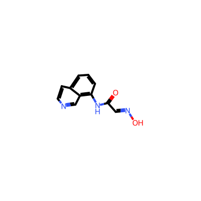 O=C(C=NO)Nc1cccc2ccncc12